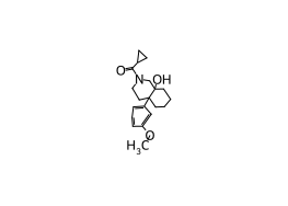 COc1cccc(C23CCCCC2(O)CN(C(=O)C2CC2)CC3)c1